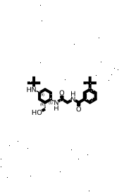 CC(C)(C)N[C@@H]1CC[C@H](NC(=O)CNC(=O)c2cccc(C(C)(C)C)c2)[C@H](CO)C1